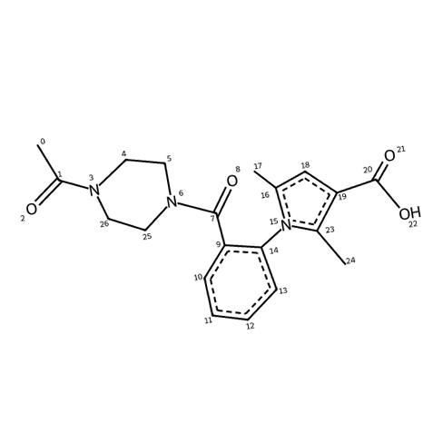 CC(=O)N1CCN(C(=O)c2ccccc2-n2c(C)cc(C(=O)O)c2C)CC1